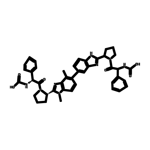 Cc1c(-c2ccc3[nH]c(C4CCCN4C(=O)C(NC(=O)O)c4ccccc4)nc3c2)ccc2c1nc([C@@H]1CCCN1C(=O)[C@H](NC(=O)O)c1ccccc1)n2C